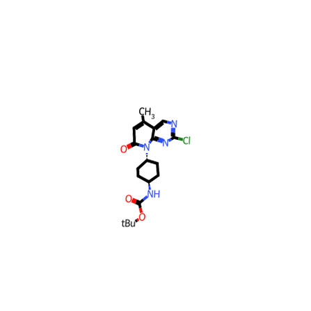 Cc1cc(=O)n([C@H]2CC[C@H](NC(=O)OC(C)(C)C)CC2)c2nc(Cl)ncc12